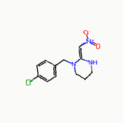 O=[N+]([O-])C=C1NCCCN1Cc1ccc(Cl)cc1